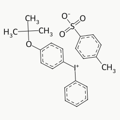 CC(C)(C)Oc1ccc([I+]c2ccccc2)cc1.Cc1ccc(S(=O)(=O)[O-])cc1